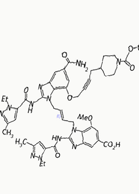 CCn1nc(C)cc1C(=O)Nc1nc2cc(C(=O)O)cc(OC)c2n1C/C=C/Cn1c(NC(=O)c2cc(C)nn2CC)nc2cc(C(N)=O)cc(OCC#CCC3CCN(C(=O)OC(C)(C)C)CC3)c21